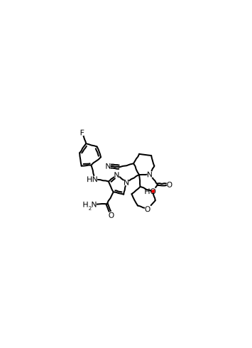 N#CC1CCCN(C(=O)O)C1(C1CCOCC1)n1cc(C(N)=O)c(Nc2ccc(F)cc2)n1